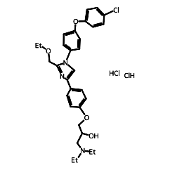 CCOCc1nc(-c2ccc(OCC(O)CN(CC)CC)cc2)cn1-c1ccc(Oc2ccc(Cl)cc2)cc1.Cl.Cl